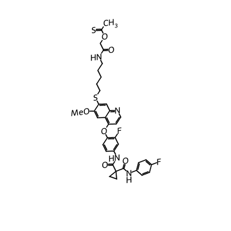 COc1cc2c(Oc3ccc(NC(=O)C4(C(=O)Nc5ccc(F)cc5)CC4)cc3F)ccnc2cc1SCCCCCNC(=O)COC(C)=S